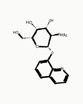 CC(=O)N[C@H]1[C@H](Oc2cccc3cccnc23)O[C@H](CO)[C@H](O)[C@@H]1O